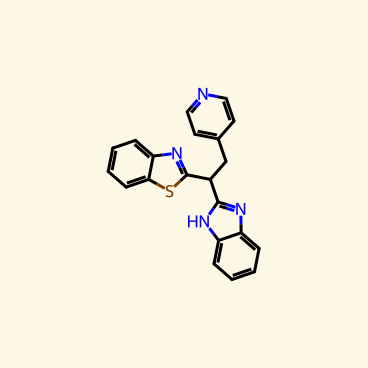 c1ccc2[nH]c(C(Cc3ccncc3)c3nc4ccccc4s3)nc2c1